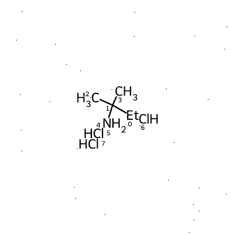 CCC(C)(C)N.Cl.Cl.Cl